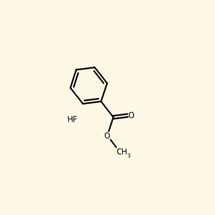 COC(=O)c1ccccc1.F